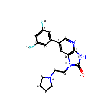 O=c1[nH]c2ncc(-c3cc(F)cc(F)c3)cc2n1CCN1CCCC1